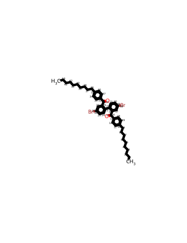 CCCCCCCCCCc1ccc(C(=O)c2cc(Br)ccc2-c2ccc(Br)cc2C(=O)c2ccc(CCCCCCCCCC)cc2)cc1